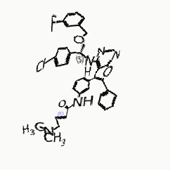 CN(C)C/C=C/C(=O)Nc1cccc(-c2c(-c3ccccc3)oc3ncnc(N[C@H](COCc4cccc(F)c4)c4ccc(Cl)cc4)c23)c1